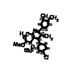 COC(=O)[C@@H](OC(C)(C)C)c1c(C)nc(-c2ccc(C)c(C)c2)c(C)c1-c1ccc(Cl)cc1